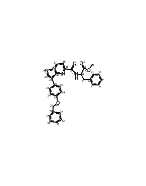 COC(=O)[C@@H](Cc1ccccc1)NC(=O)c1ccn2ncc(-c3ccc(OCc4ccccc4)cc3)c2n1